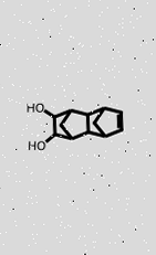 OC1C(O)C2CC1C1C3C=CC(C3)C21